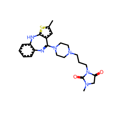 Cc1cc2c(s1)Nc1ccccc1N=C2N1CCN(CCCN2C(=O)CN(C)C2=O)CC1